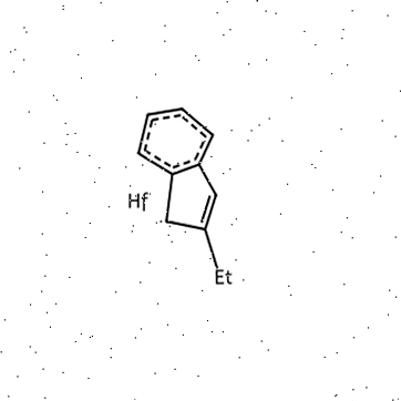 CCC1=Cc2ccccc2[CH]1.[Hf]